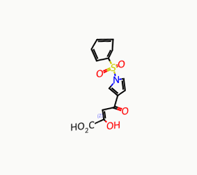 O=C(O)/C(O)=C/C(=O)c1ccn(S(=O)(=O)c2ccccc2)c1